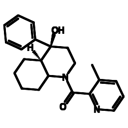 Cc1cccnc1C(=O)N1CC[C@@](O)(c2ccccc2)[C@@H]2CCCCC21